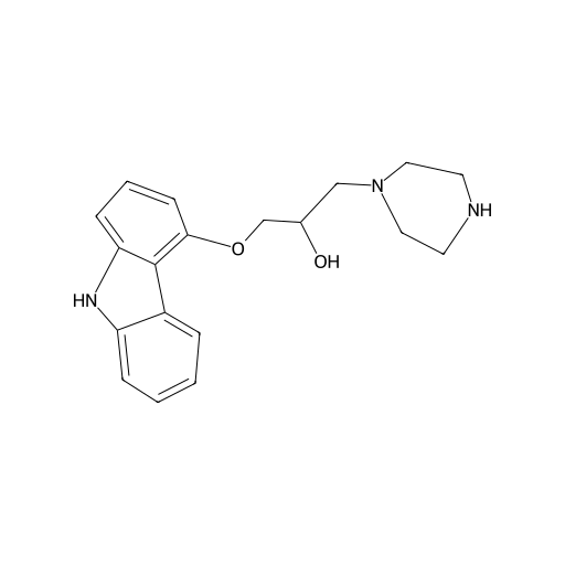 OC(COc1cccc2[nH]c3ccccc3c12)CN1CCNCC1